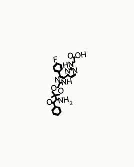 CC1(C(N)C(=O)c2ccccc2)COC(c2nc(-c3ccc(F)cc3)c(-c3ccnc(NCC(=O)O)n3)[nH]2)OC1